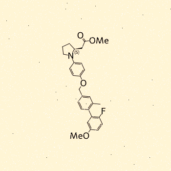 COC(=O)C[C@@H]1CCCN1c1ccc(OCc2ccc(-c3cc(OC)ccc3F)c(C)c2)cc1